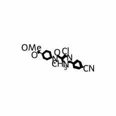 COC(=O)[C@H]1CC[C@H](N(C)C(=O)c2cnc(-c3ccc(C#N)cc3)nc2Cl)CC1